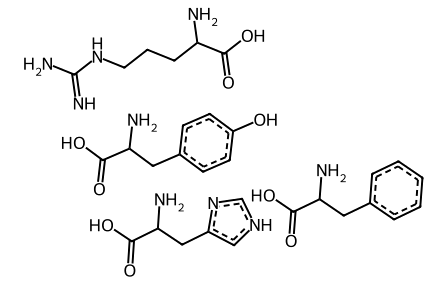 N=C(N)NCCCC(N)C(=O)O.NC(Cc1c[nH]cn1)C(=O)O.NC(Cc1ccc(O)cc1)C(=O)O.NC(Cc1ccccc1)C(=O)O